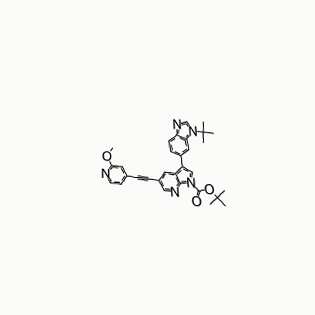 COc1cc(C#Cc2cnc3c(c2)c(-c2ccc4ncn(C(C)(C)C)c4c2)cn3C(=O)OC(C)(C)C)ccn1